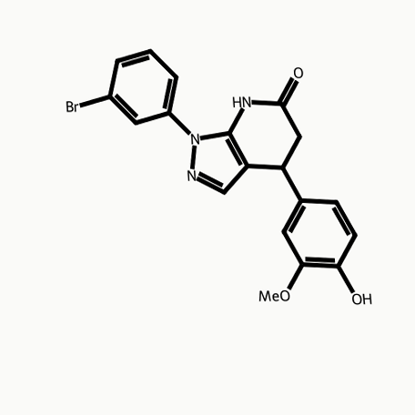 COc1cc(C2CC(=O)Nc3c2cnn3-c2cccc(Br)c2)ccc1O